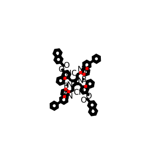 N#C/C(c1cnc2cc(-c3ccccc3)ccc2n1)=c1\c2c(-c3ccc(OC(=O)c4ccc5ccccc5c4)cc3)n(B(c3ccccc3)c3ccccc3)/c(=C(/C#N)c3cnc4cc(-c5ccccc5)ccc4n3)c2c(-c2ccc(OC(=O)c3ccc4ccccc4c3)cc2)n1B(c1ccccc1)c1ccccc1